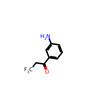 Nc1cccc(C(=O)CC(F)(F)F)c1